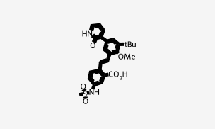 COc1c(C=Cc2ccc(NS(C)(=O)=O)cc2C(=O)O)cc(-c2ccc[nH]c2=O)cc1C(C)(C)C